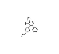 CCCc1ccc(-c2c(-c3ccccc3)ccc(F)c2F)cc1